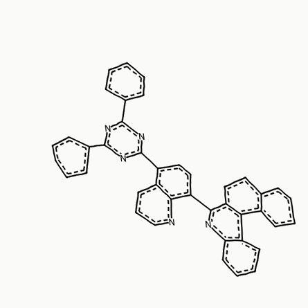 c1ccc(-c2nc(-c3ccccc3)nc(-c3ccc(-c4nc5ccccc5c5c4ccc4ccccc45)c4ncccc34)n2)cc1